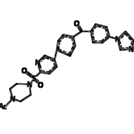 CC(=O)N1CCN(S(=O)(=O)c2ccc(-c3ccc(C(=O)c4ccc(-n5ccnc5)cc4)cc3)cn2)CC1